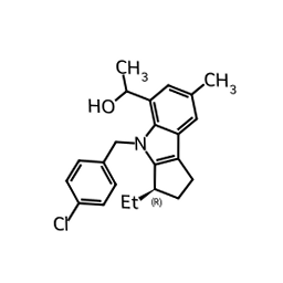 CC[C@@H]1CCc2c1n(Cc1ccc(Cl)cc1)c1c(C(C)O)cc(C)cc21